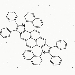 C1=c2ccccc2=C(n2c(-c3ccccc3)c(-c3ccccc3)c3cc4ccc5c6c(ccc(c46)c32)cc2c(-c3ccccc3)c(-c3ccccc3)n(C3=c4ccccc4=CCC3)c25)CC1